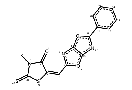 CN1C(=O)/C(=C\c2nc3oc(-c4ccccc4)nc3o2)SC1=S